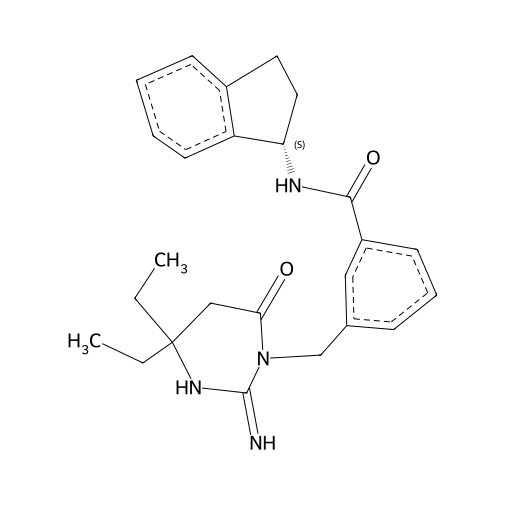 CCC1(CC)CC(=O)N(Cc2cccc(C(=O)N[C@H]3CCc4ccccc43)c2)C(=N)N1